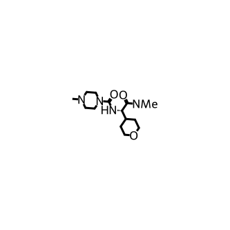 CNC(=O)[C@@H](NC(=O)N1CCN(C)CC1)C1CCOCC1